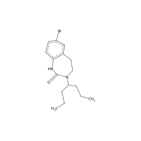 CCCC(CCC)N1CCc2cc(Br)ccc2NC1=O